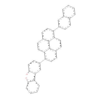 c1ccc2cc(-c3ccc4ccc5c(-c6ccc7oc8ccccc8c7c6)ccc6ccc3c4c65)ccc2c1